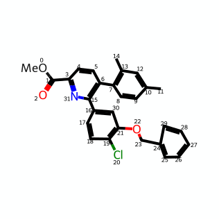 COC(=O)c1ccc(-c2ccc(C)cc2C)c(-c2ccc(Cl)c(OCc3ccccc3)c2)n1